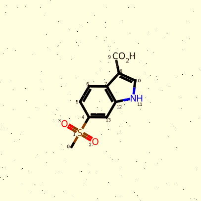 CS(=O)(=O)c1ccc2c(C(=O)O)c[nH]c2c1